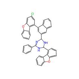 Clc1cc(-c2cc(C3N=C(c4ccccc4)NC(c4cccc5oc6ccccc6c45)N3)cc3ccccc23)c2c(c1)oc1ccccc12